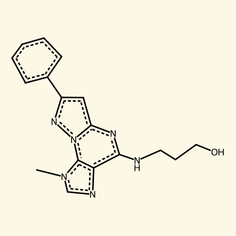 Cn1cnc2c(NCCCO)nc3cc(-c4ccccc4)nn3c21